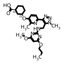 CCCOc1cc(OC)nc(NCc2c(-c3ccc(O[C@H]4CCC[C@H](C(=O)O)C4)c(C)n3)nnn2C)n1